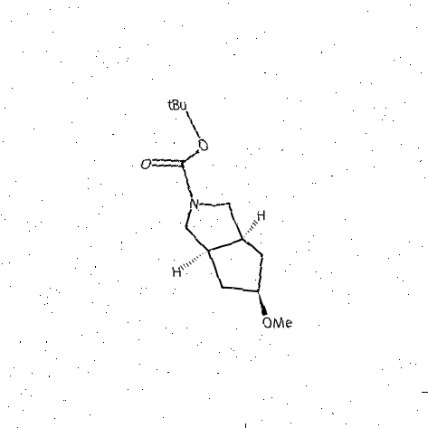 CO[C@@H]1C[C@@H]2CN(C(=O)OC(C)(C)C)C[C@@H]2C1